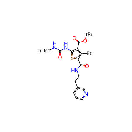 CCCCCCCCNC(=O)Nc1sc(C(=O)NCCc2cccnc2)c(CC)c1C(=O)OC(C)(C)C